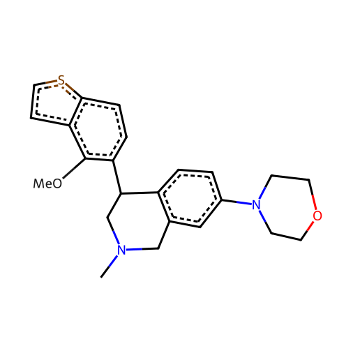 COc1c(C2CN(C)Cc3cc(N4CCOCC4)ccc32)ccc2sccc12